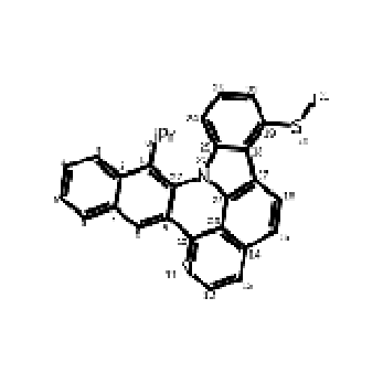 CC(C)c1c2ccccc2cc2c3nccc4ccc5c6c(SI)cccc6n(c12)c5c43